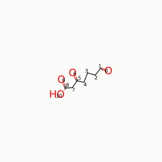 O=CCCCC(=O)CC(=O)O